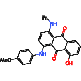 COc1ccc(Nc2ccc(NC(C)C)c3c2C(=O)c2c(O)cccc2C3=O)cc1